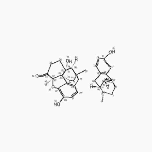 CN1CC[C@]23CCCC[C@H]2[C@H]1Cc1ccc(O)cc13.CN1CC[C@]23c4c5ccc(O)c4O[C@H]2C(=O)CC[C@@]3(O)[C@H]1C5